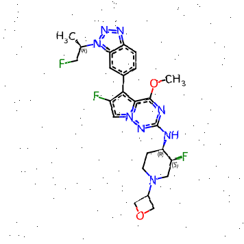 COc1nc(N[C@@H]2CCN(C3COC3)C[C@@H]2F)nn2cc(F)c(-c3ccc4nnn([C@H](C)CF)c4c3)c12